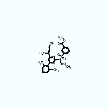 COCN(c1nc(/C(C)=C/CO)cc(-c2c(C)cccc2C)n1)S(=O)(=O)c1cccc(C(=O)OC)c1